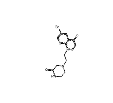 O=C1CN(CCn2ccc(=O)c3cc(Br)cnc32)CCN1